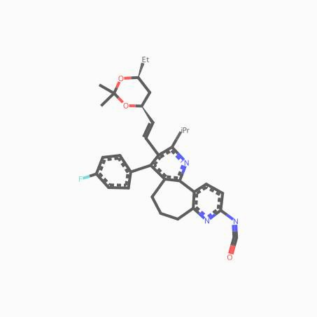 CC[C@H]1C[C@@H](/C=C/c2c(C(C)C)nc3c(c2-c2ccc(F)cc2)CCCc2nc(N=C=O)ccc2-3)OC(C)(C)O1